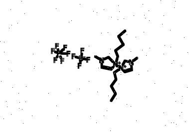 CCCCC[N+]1([N+]2(CCCCC)C=CN(C)C2)C=CN(C)C1.F[B-](F)(F)F.F[P-](F)(F)(F)(F)F